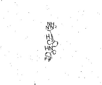 Cc1c(C#Cc2cnc(N)nc2)cccc1NC(=O)c1cccc(C(F)(F)F)c1